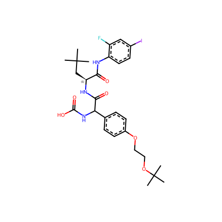 CC(C)(C)C[C@H](NC(=O)C(NC(=O)O)c1ccc(OCCOC(C)(C)C)cc1)C(=O)Nc1ccc(I)cc1F